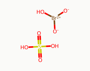 O=S(=O)(O)O.[O-][Br+2]([O-])O